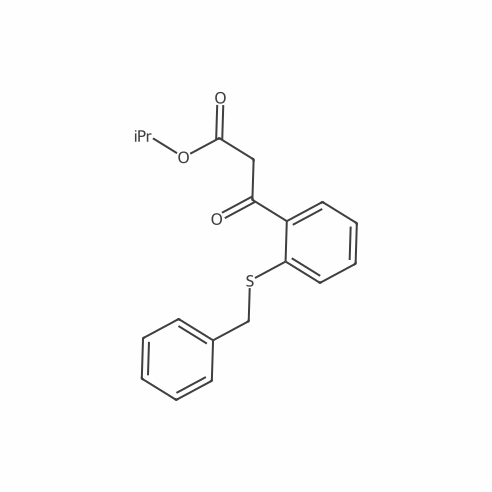 CC(C)OC(=O)CC(=O)c1ccccc1SCc1ccccc1